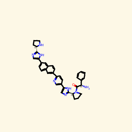 N[C@@H](C(=O)N1CCC[C@H]1c1ncc(-c2ccc(-c3ccc4cc(-c5cnc([C@@H]6CCCN6)[nH]5)ccc4c3)nc2)[nH]1)c1ccccc1